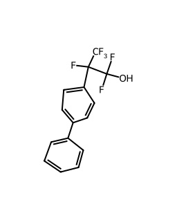 OC(F)(F)C(F)(c1ccc(-c2ccccc2)cc1)C(F)(F)F